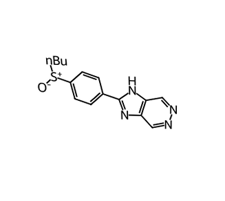 CCCC[S+]([O-])c1ccc(-c2nc3cnncc3[nH]2)cc1